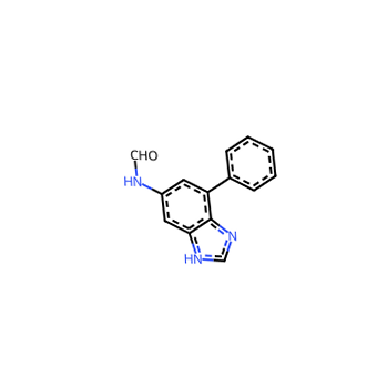 O=CNc1cc(-c2ccccc2)c2nc[nH]c2c1